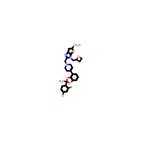 CC1(c2ccc(Cl)cc2F)Oc2cccc(C3=CCN(Cc4nc5cc(C(=O)O)sc5n4CC4CCO4)CC3)c2O1